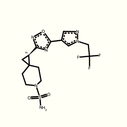 NS(=O)(=O)N1CCC2(CC1)C[C@H]2c1noc(-c2cnn(CC(F)(F)F)c2)n1